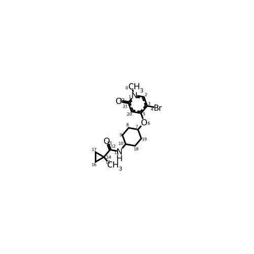 Cn1cc(Br)c(OC2CCC(NC(=O)C3(C)CC3)CC2)cc1=O